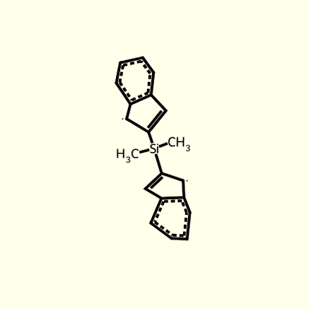 C[Si](C)(C1=Cc2ccccc2[CH]1)C1=Cc2ccccc2[CH]1